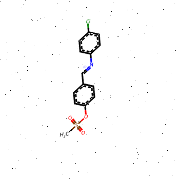 CS(=O)(=O)Oc1ccc(/C=N/c2ccc(Cl)cc2)cc1